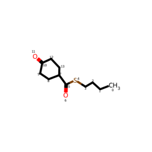 CCCCSC(=O)C1CCC(=O)CC1